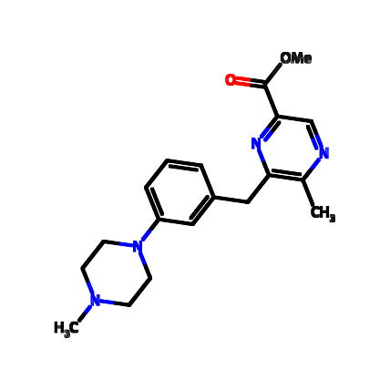 COC(=O)c1cnc(C)c(Cc2cccc(N3CCN(C)CC3)c2)n1